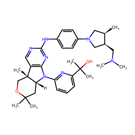 C[C@@H]1CN(c2ccc(Nc3ncc4c(n3)N(c3cccc(C(C)(C)O)n3)[C@@H]3CC(C)(C)OC[C@]43C)cc2)C[C@@H]1CN(C)C